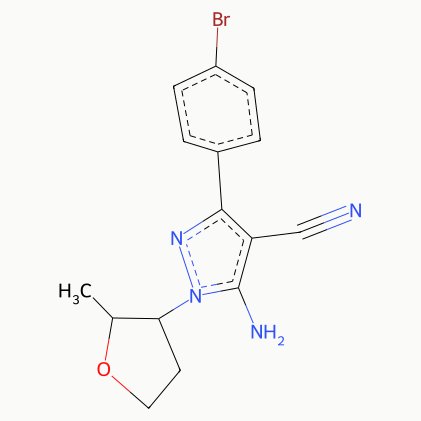 CC1OCCC1n1nc(-c2ccc(Br)cc2)c(C#N)c1N